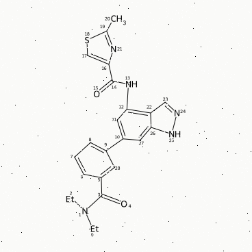 CCN(CC)C(=O)c1cccc(-c2cc(NC(=O)c3csc(C)n3)c3cn[nH]c3c2)c1